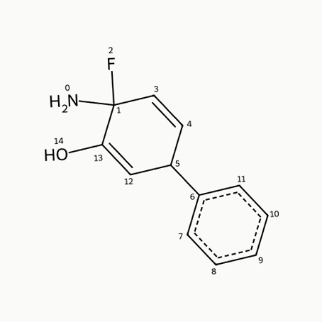 NC1(F)C=CC(c2ccccc2)C=C1O